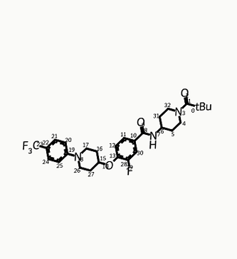 CC(C)(C)C(=O)N1CCC(NC(=O)c2ccc(OC3CCN(c4ccc(C(F)(F)F)cc4)CC3)c(F)c2)CC1